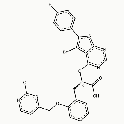 O=C(O)[C@@H](Cc1ccccc1OCc1ccnc(Cl)n1)Oc1ncnc2sc(-c3ccc(F)cc3)c(Br)c12